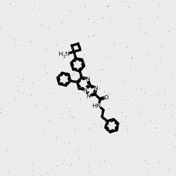 NC1(c2ccc(-c3nc4nc(C(=O)NCCc5ccccc5)nn4cc3-c3ccccc3)cc2)CCC1